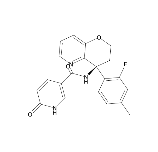 Cc1ccc([C@@]2(NC(=O)c3ccc(=O)[nH]c3)CCOc3cccnc32)c(F)c1